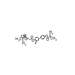 C=C(C)C(=O)Oc1ccc(-c2ccc(OC(=O)CCOC(=O)C(C)(C)C)c(F)c2)cc1